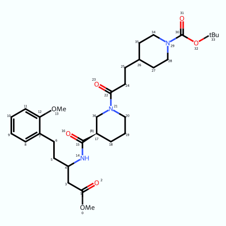 COC(=O)CC(CCc1ccccc1OC)NC(=O)[C@@H]1CCCN(C(=O)CCC2CCN(C(=O)OC(C)(C)C)CC2)C1